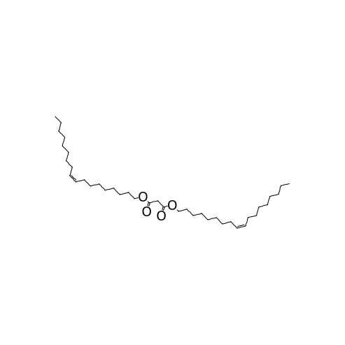 CCCCCCCC/C=C\CCCCCCCCOC(=O)CC(=O)OCCCCCCCC/C=C\CCCCCCCC